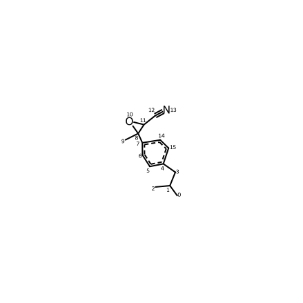 CC(C)Cc1ccc(C2(C)OC2C#N)cc1